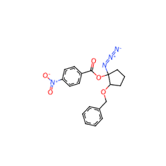 [N-]=[N+]=NC1(OC(=O)c2ccc([N+](=O)[O-])cc2)CCCC1OCc1ccccc1